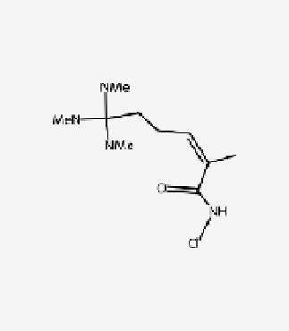 CNC(CCC=C(C)C(=O)NCl)(NC)NC